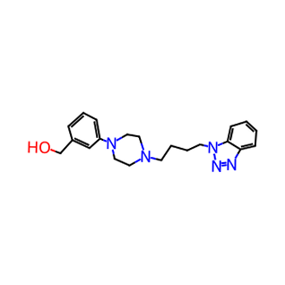 OCc1cccc(N2CCN(CCCCn3nnc4ccccc43)CC2)c1